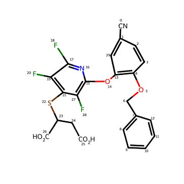 N#Cc1ccc(OCc2ccccc2)c(Oc2nc(F)c(F)c(SC(CC(=O)O)C(=O)O)c2F)c1